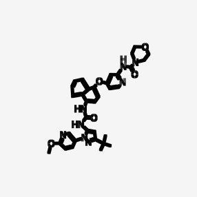 COc1ccc(-n2nc(C(C)(C)C)cc2NC(=O)Nc2ccc(Oc3ccnc(NC(=O)N4CCOCC4)c3)c3ccccc23)cn1